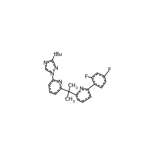 CC(C)(C)c1ncn(-c2cccc(C(C)(C)c3cccc(-c4ccc(F)cc4F)n3)n2)n1